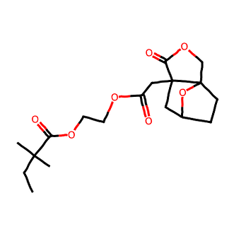 CCC(C)(C)C(=O)OCCOC(=O)CC12CC3CCC1(COC2=O)O3